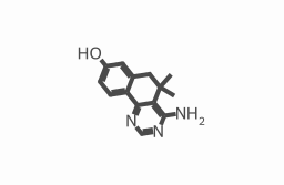 CC1(C)Cc2cc(O)ccc2-c2ncnc(N)c21